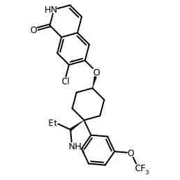 CCC(N)[C@]1(c2cccc(OC(F)(F)F)c2)CC[C@H](Oc2cc3cc[nH]c(=O)c3cc2Cl)CC1